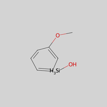 COc1ccccc1.O[SiH3]